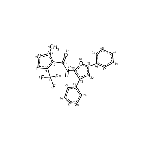 Cn1ncc(C(F)(F)F)c1C(=O)Nc1oc(-c2ccccc2)nc1-c1ccccc1